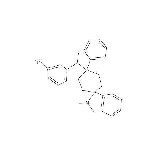 C[C](c1cccc(C(F)(F)F)c1)C1(c2ccccc2)CCC(c2ccccc2)(N(C)C)CC1